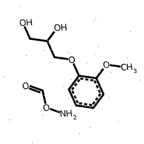 COc1ccccc1OCC(O)CO.NOC=O